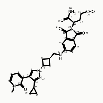 Cn1cccc(-c2cn([C@H]3C[C@H](CNc4ccc5c(c4)C(=O)N(C(CCC=O)C(N)=O)C5=O)C3)nc2C2CC2)c1=O